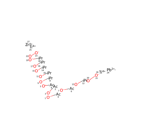 CC(=O)[O-].CC(=O)[O-].CC(=O)[O-].CC(=O)[O-].CC(C)[O-].CC(C)[O-].CC(C)[O-].CC(C)[O-].CC(C)[O-].CC(C)[O-].[O-][O-].[O-][O-].[Pb+2].[Ti+4].[Ti+4].[Zr+4]